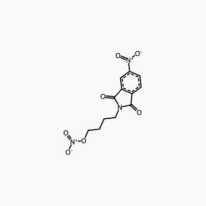 O=C1c2ccc([N+](=O)[O-])cc2C(=O)N1CCCCO[N+](=O)[O-]